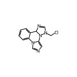 ClCN1C=NC2c3ccccc3-n3cncc3N21